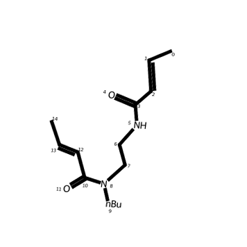 CC=CC(=O)NCCN(CCCC)C(=O)C=CC